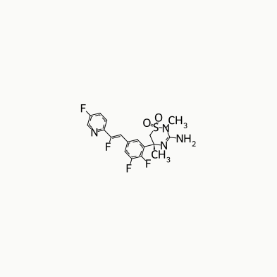 CN1C(N)=N[C@](C)(c2cc(/C=C(\F)c3ccc(F)cn3)cc(F)c2F)CS1(=O)=O